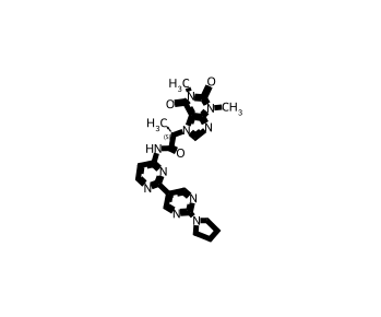 C[C@@H](C(=O)Nc1ccnc(-c2cnc(N3CCCC3)nc2)n1)n1cnc2c1c(=O)n(C)c(=O)n2C